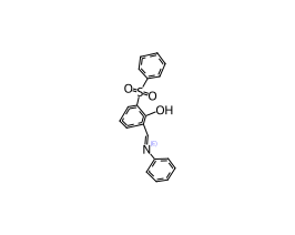 O=S(=O)(c1ccccc1)c1cccc(/C=N/c2ccccc2)c1O